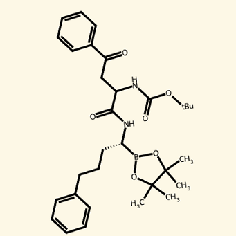 CC(C)(C)OC(=O)NC(CC(=O)c1ccccc1)C(=O)N[C@@H](CCCc1ccccc1)B1OC(C)(C)C(C)(C)O1